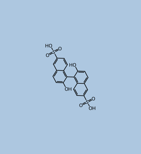 O=S(=O)(O)c1ccc2c(-c3c(O)ccc4cc(S(=O)(=O)O)ccc34)c(O)ccc2c1